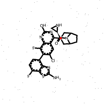 Nc1nc2c(-c3c(Cl)cc4c(N5CC6CCC(C5)N6C(=O)[C@H]5CN5)nc(O)nc4c3F)ccc(F)c2s1